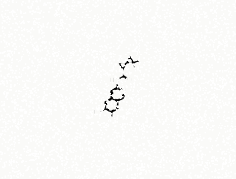 O=C(Nc1cc2cc(Br)c(Cl)cc2cn1)[C@H]1C[C@]12CC2(F)F